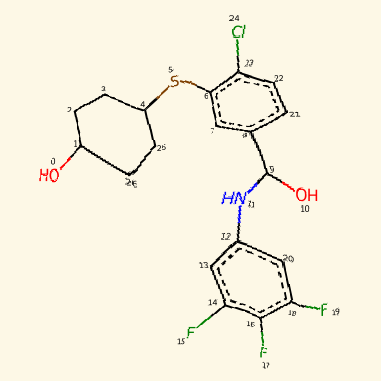 OC1CCC(Sc2cc(C(O)Nc3cc(F)c(F)c(F)c3)ccc2Cl)CC1